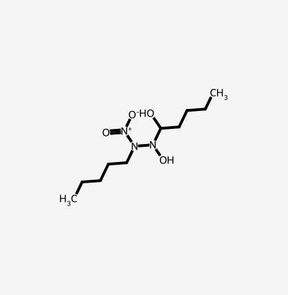 CCCCCN(N(O)C(O)CCCC)[N+](=O)[O-]